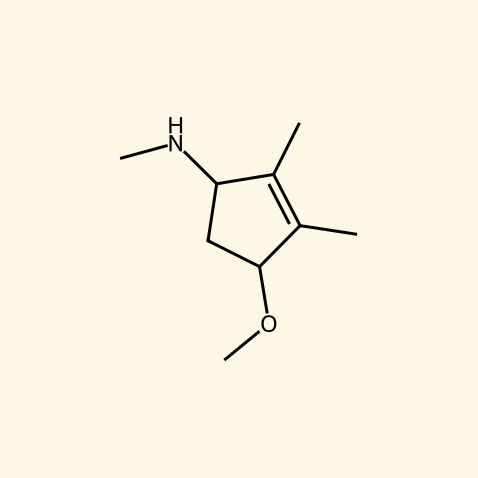 CNC1CC(OC)C(C)=C1C